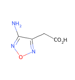 Nc1nonc1CC(=O)O